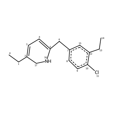 CCC1=CC=C(Cc2ccc(Cl)c(CC)c2)NC1